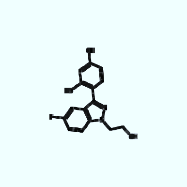 OCCn1nc(-c2ccc(O)cc2O)c2cc(F)ccc21